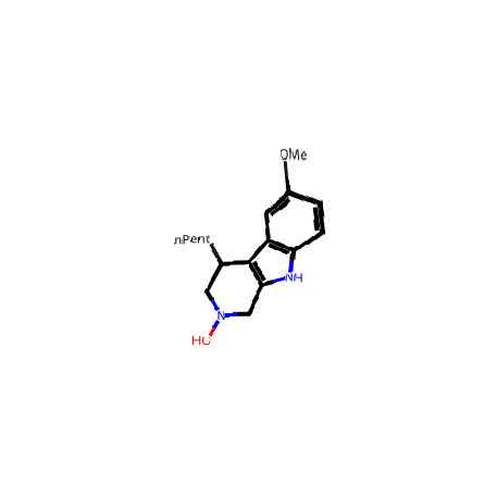 CCCCCC1CN(O)Cc2[nH]c3ccc(OC)cc3c21